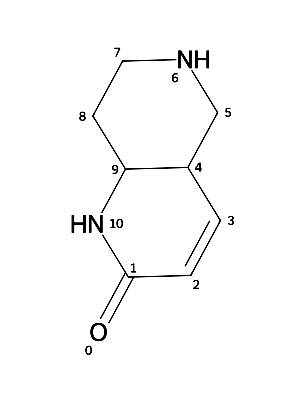 O=C1C=CC2CNCCC2N1